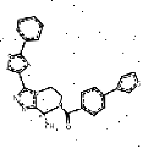 C[C@@H]1c2nnc(-c3csc(-c4ccccc4)n3)n2CCN1C(=O)c1ccc(-c2ccsc2)cc1